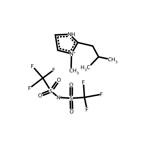 CC(C)Cc1[nH]cc[n+]1C.O=S(=O)([N-]S(=O)(=O)C(F)(F)F)C(F)(F)F